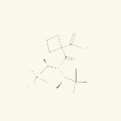 CC(C)[C@@H](N(C(=O)C1(C(N)=O)CCC1)[C@H](C(C)C)C(C)(C)O)C(C)(C)O